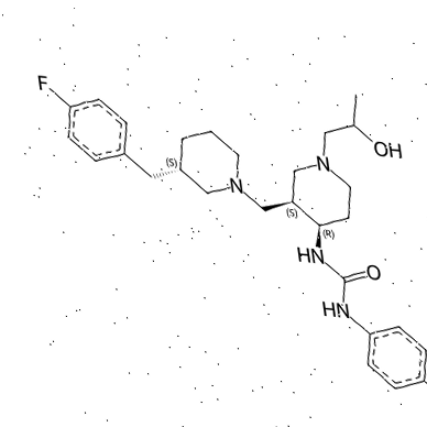 CC(O)CN1CC[C@@H](NC(=O)Nc2ccc(F)cc2)[C@@H](CN2CCC[C@@H](Cc3ccc(F)cc3)C2)C1